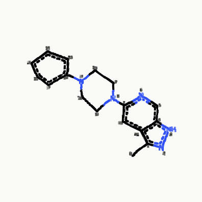 Cc1n[nH]c2cnc(N3CCN(c4ccccc4)CC3)cc12